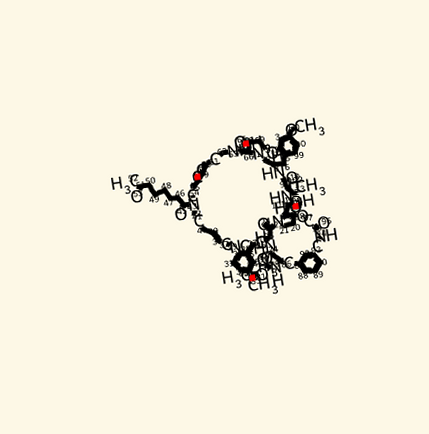 COc1ccc(C[C@@H]2NC(=O)[C@H]([C@@H](C)O)NC(=O)[C@@H]3[C@@H]4CCN3C(=O)[C@H](Cc3cn(c5ccc(F)cc35)C/C=C/CCCN(C(=O)CCCCCC(C)=O)Cc3ccc(cc3)CCNC(=O)[C@]3(C)CCCN3C2=O)NC(=O)[C@@H](NC(=O)OC(C)(C)C)Cc2cccc(c2)CNC(=O)CO4)cc1